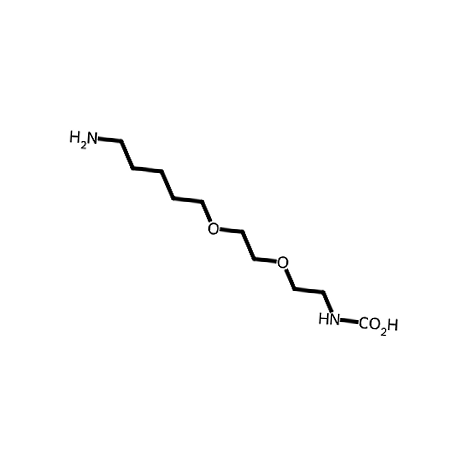 NCCCCCOCCOCCNC(=O)O